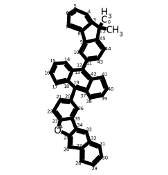 CC1(C)c2ccccc2-c2cc(-c3c4ccccc4c(-c4ccc5oc6cc7ccccc7cc6c5c4)c4ccccc34)ccc21